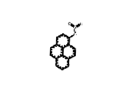 O=[SH](=O)Oc1ccc2ccc3cccc4ccc1c2c34